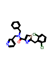 O=C(c1csc(Cc2c(Cl)cccc2Cl)n1)N(Cc1ccccc1)Cc1cccnc1